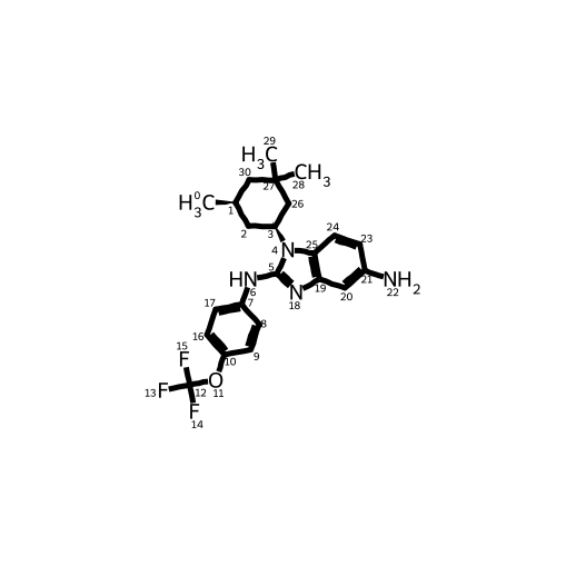 C[C@@H]1C[C@H](n2c(Nc3ccc(OC(F)(F)F)cc3)nc3cc(N)ccc32)CC(C)(C)C1